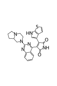 O=C1NC(=O)C(c2c[nH]c3sccc23)=C1c1nc(N2CCN3CCCC3C2)nc2ccccc12